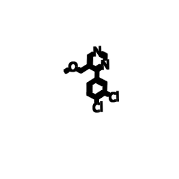 COCc1cncnc1-c1ccc(Cl)c(Cl)c1